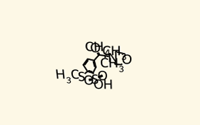 C.CSc1ccc(C(=O)C(C)(C)N2CCOCC2)cc1S(=O)(=O)O